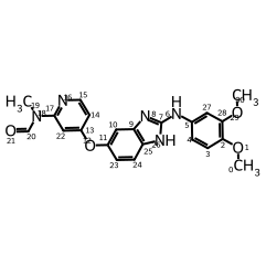 COc1ccc(Nc2nc3cc(Oc4ccnc(N(C)C=O)c4)ccc3[nH]2)cc1OC